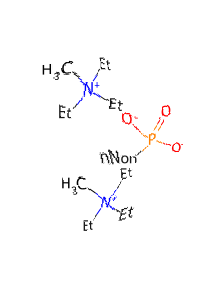 CCCCCCCCCP(=O)([O-])[O-].CC[N+](C)(CC)CC.CC[N+](C)(CC)CC